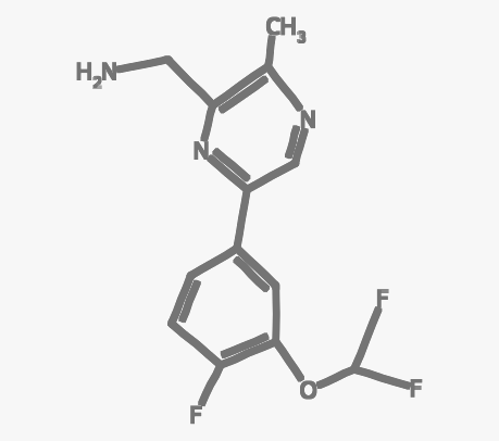 Cc1ncc(-c2ccc(F)c(OC(F)F)c2)nc1CN